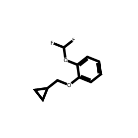 FC(F)Oc1cc[c]cc1OCC1CC1